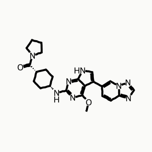 COc1nc(N[C@H]2CC[C@@H](C(=O)N3CCCC3)CC2)nc2[nH]cc(-c3ccc4ncnn4c3)c12